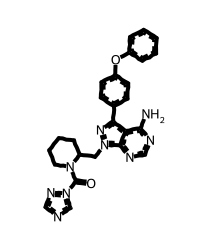 Nc1ncnc2c1c(-c1ccc(Oc3ccccc3)cc1)nn2CC1CCCCN1C(=O)n1cncn1